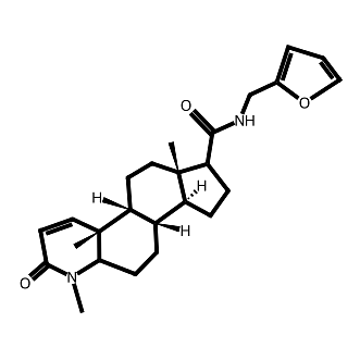 CN1C(=O)C=C[C@@]2(C)C1CC[C@@H]1[C@H]2CC[C@]2(C)C(C(=O)NCc3ccco3)CC[C@@H]12